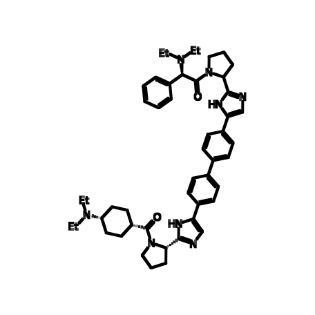 CCN(CC)[C@@H](C(=O)N1CCCC1c1ncc(-c2ccc(-c3ccc(-c4cnc([C@@H]5CCCN5C(=O)[C@H]5CC[C@@H](N(CC)CC)CC5)[nH]4)cc3)cc2)[nH]1)c1ccccc1